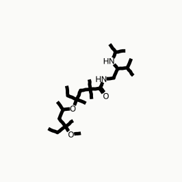 CCC(C)(CC(C)OC(C)(CC)CC(C)(C)C(=O)NCC(NC(C)C)C(C)C)OC